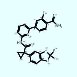 BC(=O)c1ccc(-c2cccc(NC(=O)C3(c4ccc5c(c4)OC(F)(F)O5)CC3)n2)cc1F